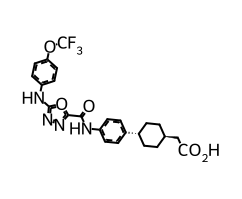 O=C(O)C[C@H]1CC[C@H](c2ccc(NC(=O)c3nnc(Nc4ccc(OC(F)(F)F)cc4)o3)cc2)CC1